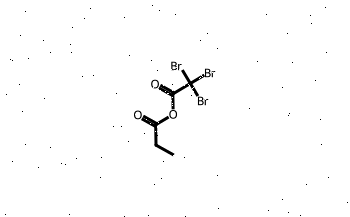 CCC(=O)OC(=O)C(Br)(Br)Br